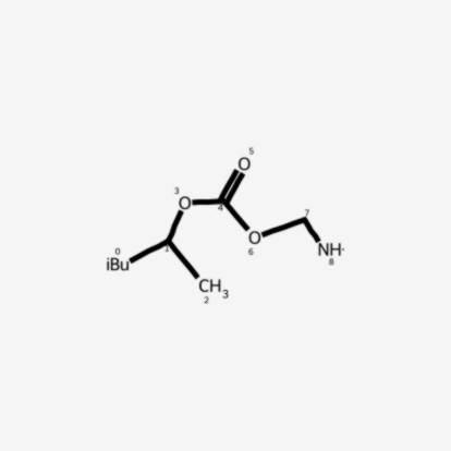 CCC(C)C(C)OC(=O)OC[NH]